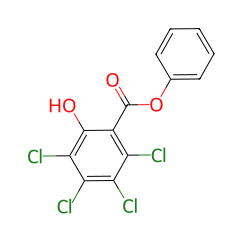 O=C(Oc1ccccc1)c1c(O)c(Cl)c(Cl)c(Cl)c1Cl